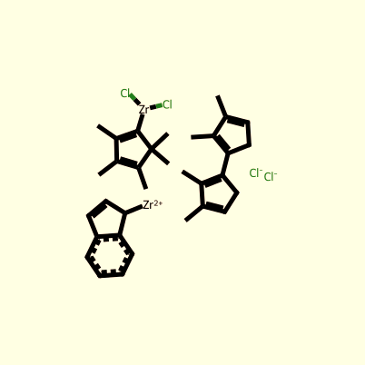 CC1=C(C)C(C)(C)[C]([Zr]([Cl])[Cl])=C1C.CC1=CCC(C2=C(C)C(C)=CC2)=C1C.[Cl-].[Cl-].[Zr+2][CH]1C=Cc2ccccc21